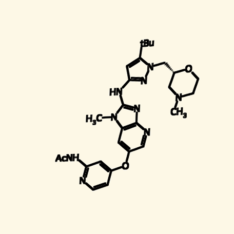 CC(=O)Nc1cc(Oc2cnc3nc(Nc4cc(C(C)(C)C)n(C[C@H]5CN(C)CCO5)n4)n(C)c3c2)ccn1